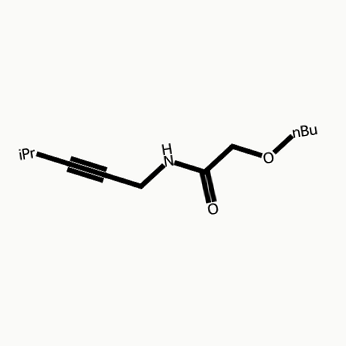 CCCCOCC(=O)NCC#CC(C)C